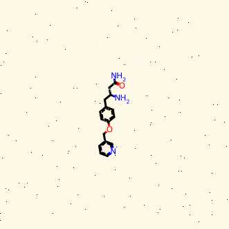 NC(=O)CC(N)Cc1ccc(OCc2cccnc2)cc1